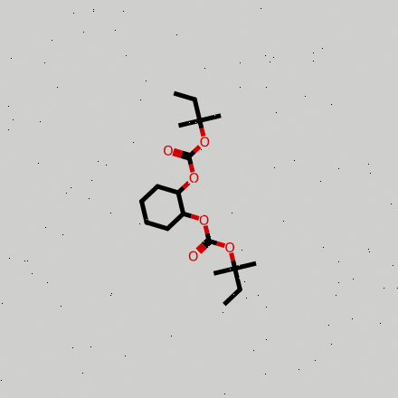 CCC(C)(C)OC(=O)OC1CCCCC1OC(=O)OC(C)(C)CC